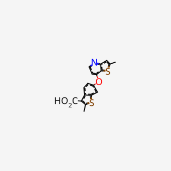 Cc1cc2nccc(Oc3ccc4c(C(=O)O)c(C)sc4c3)c2s1